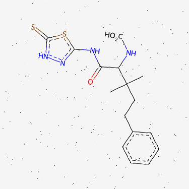 CC(C)(CCc1ccccc1)C(NC(=O)O)C(=O)Nc1n[nH]c(=S)s1